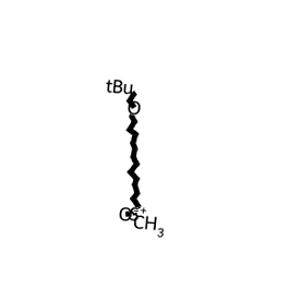 C[S+]([O-])CCCCCCCCCCCCCCOCCC(C)(C)C